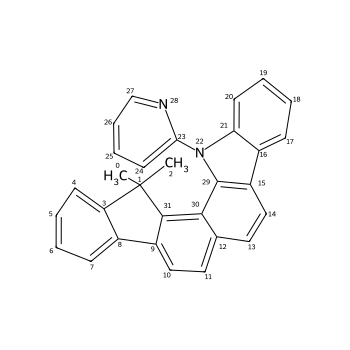 CC1(C)c2ccccc2-c2ccc3ccc4c5ccccc5n(-c5ccccn5)c4c3c21